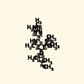 C=C(NCc1cnc(C(C)(N)F)nc1)c1cc(OCC(C)(CC)CCCC)cc(C(=C)S/C(C)=C\C)c1